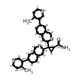 Cc1ccncc1-c1ccc2cc(C3(c4cc5ccc(-c6cnccc6C)cc5cn4)CC3C(N)=O)ncc2c1